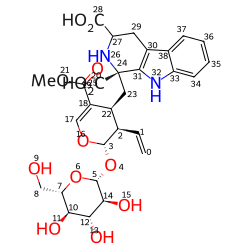 C=C[C@H]1[C@H](O[C@H]2O[C@@H](CO)[C@H](O)[C@@H](O)[C@@H]2O)OC=C(C(=O)OC)[C@H]1C[C@]1(C(=O)O)NC(C(=O)O)Cc2c1[nH]c1ccccc21